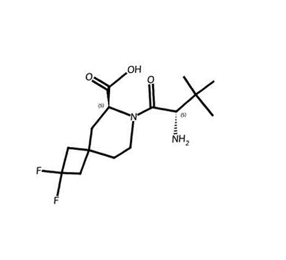 CC(C)(C)[C@H](N)C(=O)N1CCC2(C[C@H]1C(=O)O)CC(F)(F)C2